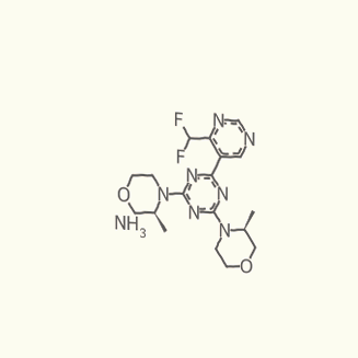 C[C@H]1COCCN1c1nc(-c2cncnc2C(F)F)nc(N2CCOC[C@@H]2C)n1.N